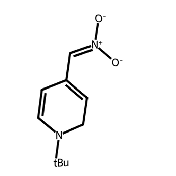 CC(C)(C)N1C=CC(C=[N+]([O-])[O-])=CC1